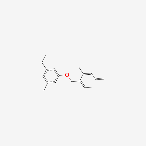 C=C/C=C(C)\C(=C/C)COc1cc(C)cc(CC)c1